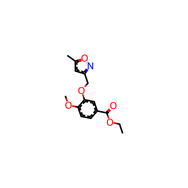 CCOC(=O)c1ccc(OC)c(OCc2cc(C)on2)c1